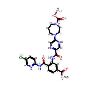 COC(=O)c1ccc(C(=O)Nc2ccc(Cl)cn2)c(NC(=O)c2cnc(N3CCCN(C(=O)OC(C)(C)C)CC3)cn2)c1